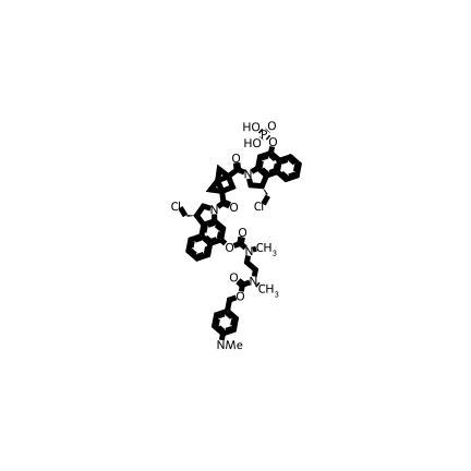 CNc1ccc(COC(=O)N(C)CCN(C)C(=O)Oc2cc3c(c4ccccc24)[C@H](CCl)CN3C(=O)C23CC4(C(=O)N5C[C@@H](CCl)c6c5cc(OP(=O)(O)O)c5ccccc65)CC24C3)cc1